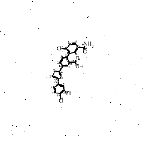 NC(=O)c1ccc(Cl)c(-c2ccc(-c3nc(-c4ccc(Cl)c(Cl)c4)cs3)cc2C(=O)O)c1